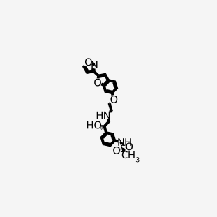 CS(=O)(=O)Nc1cccc([C@@H](O)CNCCOc2ccc3cc(-c4ccon4)oc3c2)c1